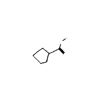 [CH2]C(C)OC(=O)C1CCCC1